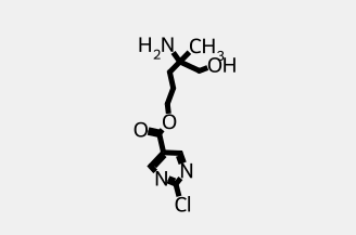 CC(N)(CO)CCCOC(=O)c1cnc(Cl)nc1